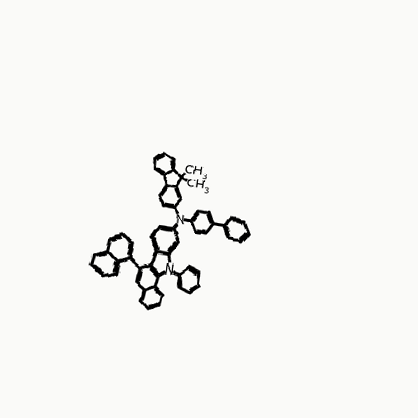 CC1(C)c2ccccc2-c2ccc(N(c3ccc(-c4ccccc4)cc3)c3ccc4c5c(-c6cccc7ccccc67)cc6ccccc6c5n(-c5ccccc5)c4c3)cc21